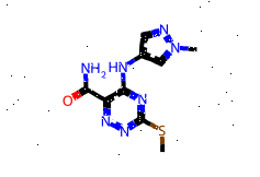 CSc1nnc(C(N)=O)c(Nc2cnn(C)c2)n1